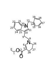 CCOC(=O)C1=CN(CCc2cn(Cc3ccccc3)c3ccccc23)CCC1